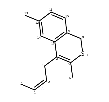 C/C=C\CC1=C(C)SCc2ccc(C)cc21